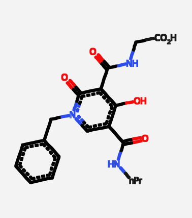 CCCNC(=O)c1cn(Cc2ccccc2)c(=O)c(C(=O)NCC(=O)O)c1O